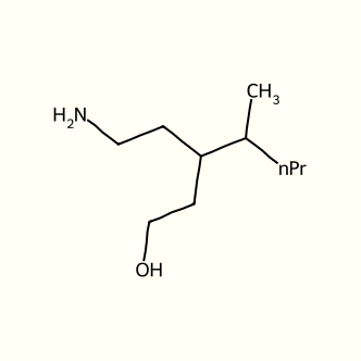 CCCC(C)C(CCN)CCO